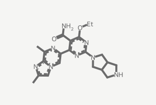 CCOc1nc(N2CC3CNCC3C2)nc(-c2cn3cc(C)nc3c(C)n2)c1C(N)=O